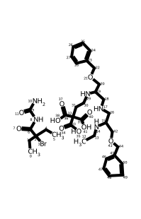 CCC(Br)(CC)C(=O)NC(N)=O.CCNC(CNCC(COCc1ccccc1)NCCC(C(=O)O)(C(=O)O)C(=O)O)COCc1ccccc1